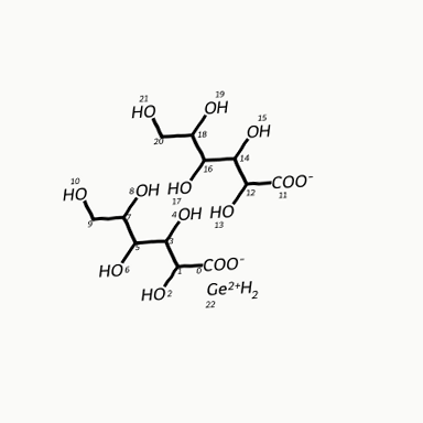 O=C([O-])C(O)C(O)C(O)C(O)CO.O=C([O-])C(O)C(O)C(O)C(O)CO.[GeH2+2]